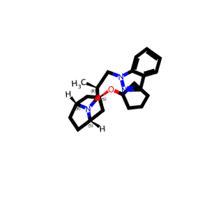 C[C@H](CN1[C@@H]2CC[C@H]1C[C@H](OC1CCCC1)C2)Cn1ncc2ccccc21